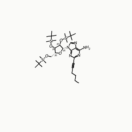 CCCCC#Cc1nc(N)c2ncn([C@@H]3O[C@H](CO[Si](C)(C)C(C)(C)C)[C@@H](O[Si](C)(C)C(C)(C)C)[C@H]3O[Si](C)(C)C(C)(C)C)c2n1